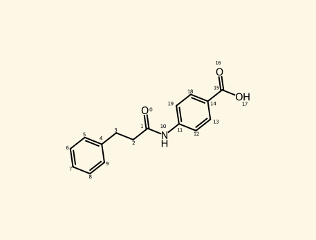 O=C(CCc1ccccc1)Nc1ccc(C(=O)O)cc1